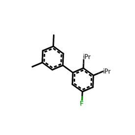 Cc1cc(C)cc(-c2cc(F)cc(C(C)C)c2C(C)C)c1